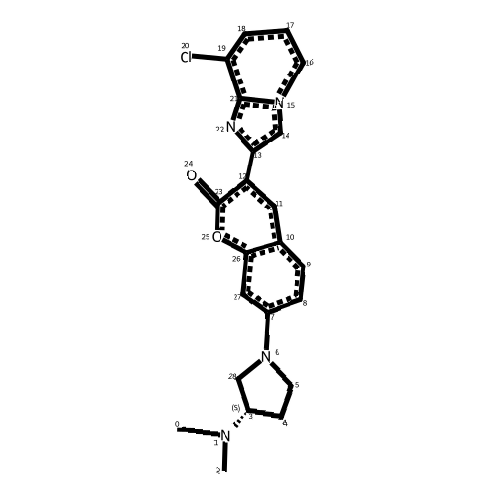 CN(C)[C@H]1CCN(c2ccc3cc(-c4cn5cccc(Cl)c5n4)c(=O)oc3c2)C1